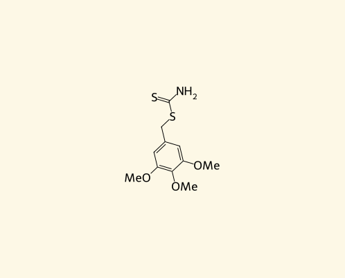 COc1cc(CSC(N)=S)cc(OC)c1OC